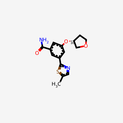 Cc1cnc(-c2cc(O[C@@H]3CCOC3)cc(C(N)=O)c2)s1